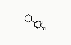 Clc1ccc(C2CCCCC2)cn1